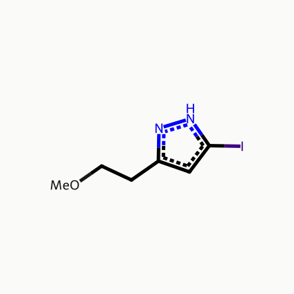 COCCc1cc(I)[nH]n1